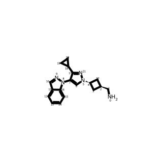 NC[C@H]1C[C@H](n2cc(-n3ncc4ccccc43)c(C3CC3)n2)C1